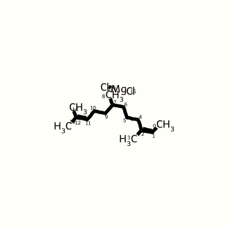 CC=C(C)CCCC(C)CCC=C(C)C.[Cl][Mg][Cl]